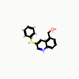 OCc1cccc2ncc(Sc3ccccc3)cc12